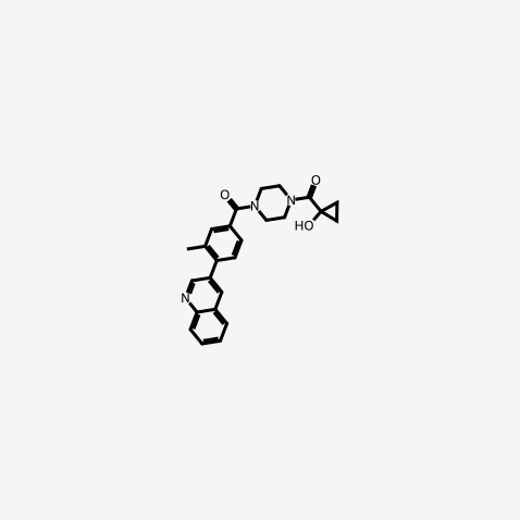 Cc1cc(C(=O)N2CCN(C(=O)C3(O)CC3)CC2)ccc1-c1cnc2ccccc2c1